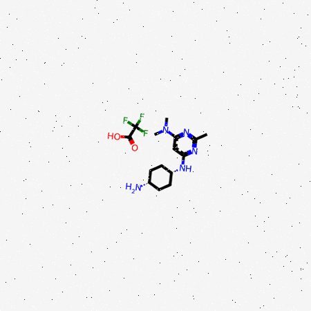 Cc1nc(N[C@H]2CC[C@@H](N)CC2)cc(N(C)C)n1.O=C(O)C(F)(F)F